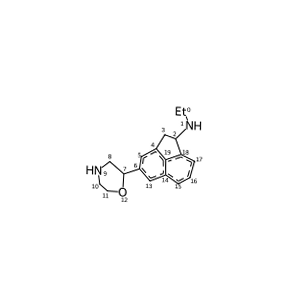 CCNC1Cc2cc(C3CNCCO3)cc3cccc1c23